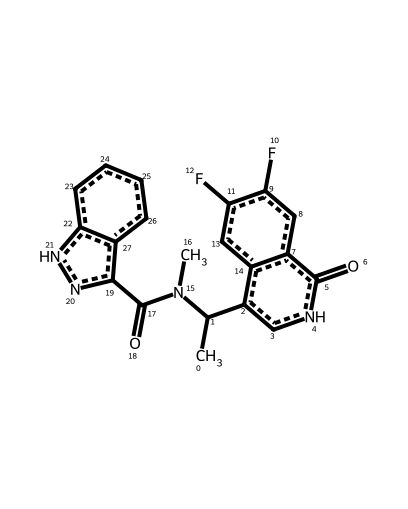 CC(c1c[nH]c(=O)c2cc(F)c(F)cc12)N(C)C(=O)c1n[nH]c2ccccc12